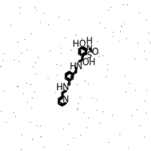 O=c1[nH]c2c(O)ccc(C(O)CNCCc3cccc(CNCCc4ccccn4)c3)c2s1